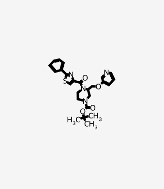 CC(C)(C)OC(=O)N1CCN(C(=O)c2csc(-c3ccccc3)n2)C(COc2cccnc2)C1